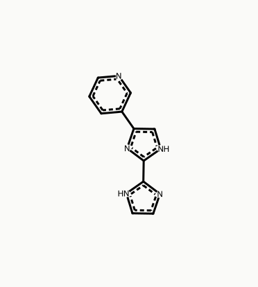 c1cncc(-c2c[nH]c(-c3ncc[nH]3)n2)c1